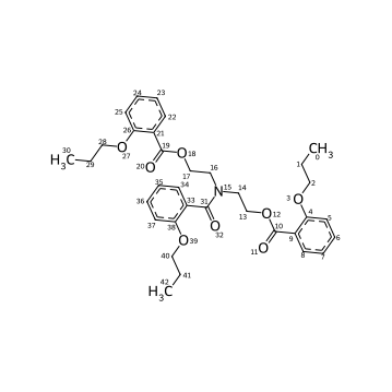 CCCOc1ccccc1C(=O)OCCN(CCOC(=O)c1ccccc1OCCC)C(=O)c1ccccc1OCCC